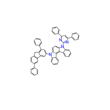 c1ccc(-c2ccc3c(c2)-c2cc(-n4c5ccccc5c5c6c7ccccc7n(-c7nc(-c8ccccc8)cc(-c8ccccc8)n7)c6ccc54)cc(-c4ccccc4)c2C3)cc1